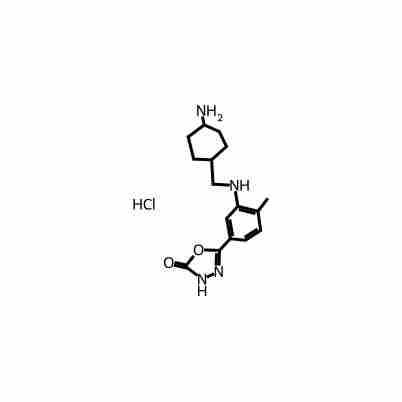 Cc1ccc(-c2n[nH]c(=O)o2)cc1NCC1CCC(N)CC1.Cl